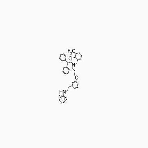 FC(F)(F)c1cccc(CN(CCCOc2cccc(CCNc3ncccn3)c2)CC(c2ccccc2)c2ccccc2)c1Cl